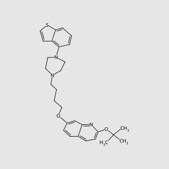 CC(C)(C)Oc1ccc2ccc(OCCCCN3CCN(c4cccc5sccc45)CC3)cc2n1